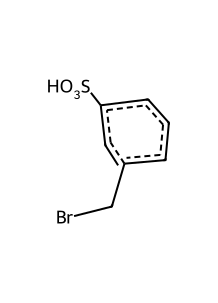 O=S(=O)(O)c1cccc(CBr)c1